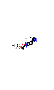 CCOC1CC1C(=O)Nc1cc2ccc(-c3cnccc3C)cc2cn1